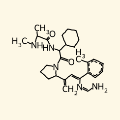 C=C(/C=C(\N=C/N)c1ccccc1C)C1CCCN1C(=O)C(NC(=O)C(C)NC)C1CCCCC1